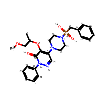 CCOCC(C)Oc1c(N2CCN(S(=O)(=O)Cc3ccccc3)CC2)cnn(-c2ccccc2)c1=O